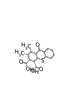 Cc1c(C(=O)O)c(C(=O)O)c2sc3ccccc3c(=O)c2c1C